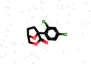 O=C1OCC2CCC1(c1ccc(Cl)cc1Cl)O2